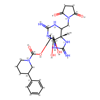 N=C1N[C@H]2C(CN3C(=O)CCC3=O)NC(=N)N3CC(OC(=O)N4CCCC(c5ccccc5)C4)C(O)(O)[C@]23N1